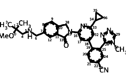 COC(C)(C)CNCc1ccc2c(c1)C(=O)N(c1cc(-c3ccc(C#N)cc3-c3nncn3C)cc(C3CC3)n1)C2